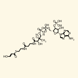 CC(C)(COP(=O)(O)OP(=O)(O)OC[C@H]1O[C@@H](n2cnc3c(N)ncnc32)[C@H](O)[C@@H]1OP(=O)(O)O)[C@@H](O)C(=O)NCCC(=O)NCCSC(=O)C=CO